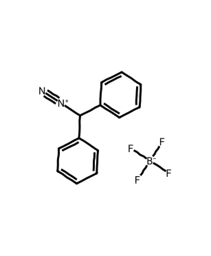 F[B-](F)(F)F.N#[N+]C(c1ccccc1)c1ccccc1